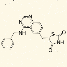 O=C1NC(=O)/C(=C/c2ccc3ncnc(NCc4ccccc4)c3c2)S1